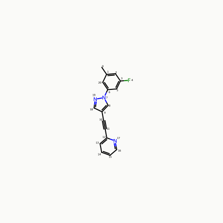 Cc1cc(F)cc(-n2cc(C#Cc3ccccn3)cn2)c1